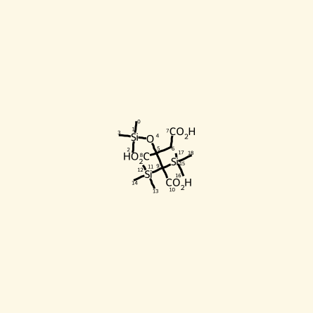 C[Si](C)(C)OC(CC(=O)O)(C(=O)O)C(C(=O)O)([Si](C)(C)C)[Si](C)(C)C